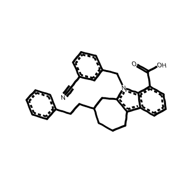 N#Cc1cccc(Cn2c3c(c4cccc(C(=O)O)c42)CCCC(CCc2ccccc2)C3)c1